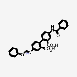 O=C(Nc1ccc(-c2ccc(/N=C/Oc3ccccc3)cc2C(=O)O)c(C(=O)O)c1)c1ccccc1